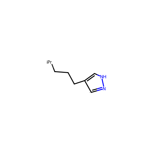 CC(C)CCCc1[c]n[nH]c1